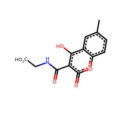 Cc1ccc2oc(=O)c(C(=O)NCC(=O)O)c(O)c2c1